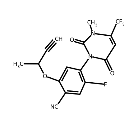 C#CC(C)Oc1cc(-n2c(=O)cc(C(F)(F)F)n(C)c2=O)c(F)cc1C#N